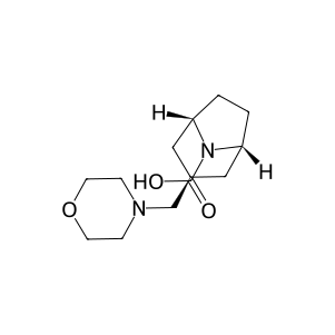 O=C(O)N1[C@@H]2CC[C@H]1C[C@H](CN1CCOCC1)C2